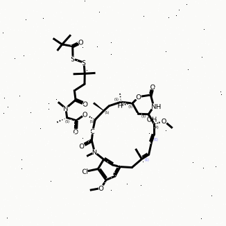 COc1cc2cc(c1Cl)N(C)C(=O)C[C@H](OC(=O)[C@H](C)N(C)C(=O)CCC(C)(C)SSC(=O)C(C)(C)C)[C@@H](C)C[C@H](C)[C@@H]1C[C@@](O)(NC(=O)O1)[C@H](OC)/C=C/C=C(\C)C2